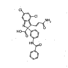 NC(=O)C=CC1=c2c(Cl)cc(Cl)cc2=NC1(C(=O)O)c1cccc(NC(=O)c2ccccc2)c1